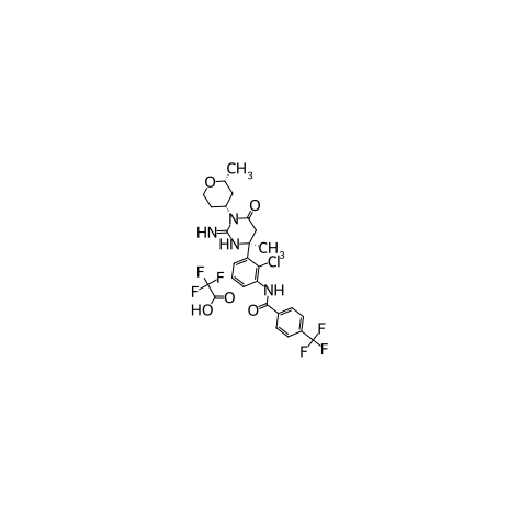 C[C@@H]1C[C@H](N2C(=N)N[C@](C)(c3cccc(NC(=O)c4ccc(C(F)(F)F)cc4)c3Cl)CC2=O)CCO1.O=C(O)C(F)(F)F